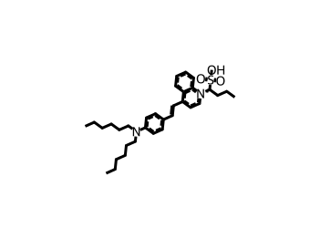 CCCCCCN(CCCCCC)c1ccc(C=Cc2cc[n+](C(CCC)S(=O)(=O)O)c3ccccc23)cc1